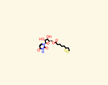 O=C(CCCCC1CCSS1)OC[C@H]1O[C@@H](n2ccc(=O)[nH]c2=O)[C@H](O)[C@@H]1O